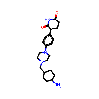 NC1CCC(CN2CCN(c3ccc(C4CCC(=O)NC4=O)cc3)CC2)CC1